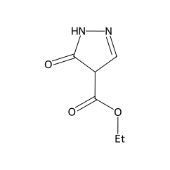 CCOC(=O)C1C=NNC1=O